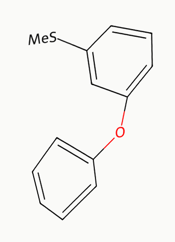 CSc1cccc(Oc2ccccc2)c1